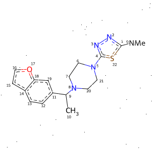 CNc1nnc(N2CCN(C(C)c3ccc4ccoc4c3)CC2)s1